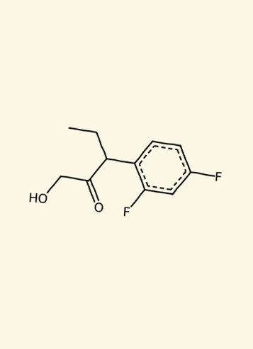 CCC(C(=O)CO)c1ccc(F)cc1F